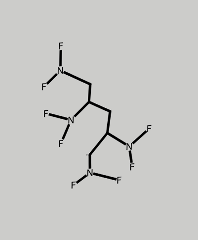 FN(F)[CH]C(CC(CN(F)F)N(F)F)N(F)F